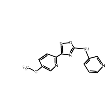 FC(F)(F)Oc1ccc(-c2noc(Nc3cccnc3)n2)nc1